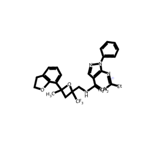 C=C(NCC1(C(F)(F)F)CC(C)(c2cccc3c2OCC3)O1)c1cnn(-c2ccccc2)c1/N=C(\N)CC